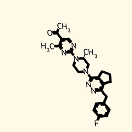 CC(=O)c1cnc(N2CCN(c3nnc(Cc4ccc(F)cc4)c4c3CCC4)C[C@H]2C)nc1C